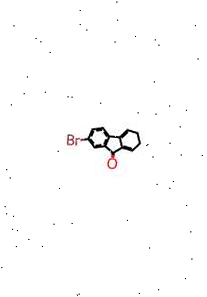 O=C1C2=CCCC=C2c2ccc(Br)cc21